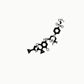 CCS(=O)(=O)c1ccc(N(CC(=O)Nc2cc(Cl)c(C3(c4nc(C5CC5)cs4)CC3)c(Cl)c2)CC(F)(F)F)cc1